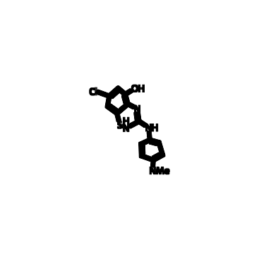 CNc1ccc(NC2=Nc3c(O)cc(Cl)cc3SN2)cc1